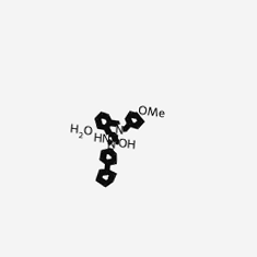 COc1ccc(CN2C=c3ccccc3=C3NN(c4ccc(-c5ccccc5)cc4)C(O)=C32)cc1.O